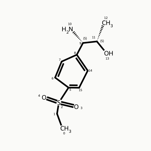 CCS(=O)(=O)c1ccc([C@H](N)[C@H](C)O)cc1